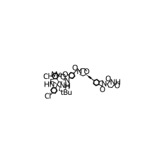 COc1cc(C(=O)N2CCO[C@@H](C#Cc3ccc4c(c3)CN(C3CCC(=O)NC3=O)C4=O)CC2)ccc1NC(=O)[C@@H]1N[C@@H](CC(C)(C)C)[C@@]2(CNc3cc(Cl)ccc32)[C@H]1c1cccc(Cl)c1F